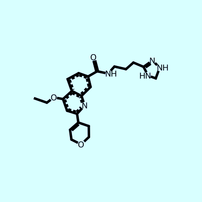 CCOc1cc(C2=CCOCC2)nc2cc(C(=O)NCCCC3=NNCN3)ccc12